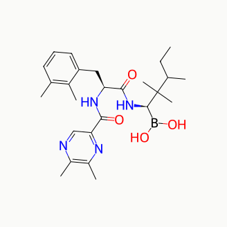 CCC(C)C(C)(C)[C@H](NC(=O)[C@H](Cc1cccc(C)c1C)NC(=O)c1cnc(C)c(C)n1)B(O)O